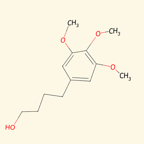 COc1cc(CCCCO)cc(OC)c1OC